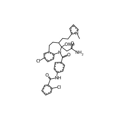 COC1(CC(N)=O)C(CCc2cccn2C)CCc2cc(Cl)ccc2N1C(=O)c1ccc(NC(=O)c2ccccc2Cl)cc1